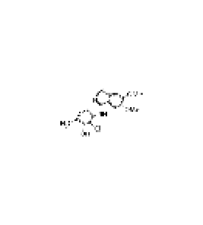 COc1cc2ncnc(Nc3ccc(C)c(O)c3Cl)c2cc1OC